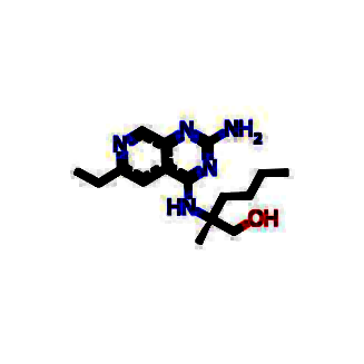 CCCC[C@](C)(CO)Nc1nc(N)nc2cnc(CC)cc12